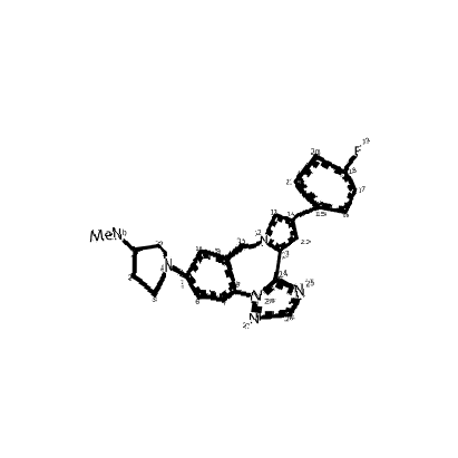 CNC1CCN(c2ccc3c(c2)Cn2cc(-c4ccc(F)cc4)cc2-c2ncnn2-3)C1